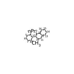 CC[CH]c1c(-c2ccccc2C)ccc2ccccc12